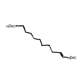 [CH2]CCCCCCCCCC=CCCCCCCCCCCCCCCCCC[CH2]